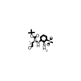 C[C@@H](C=O)N(Nc1cccc(S(C)(=O)=O)c1N)C(=O)OC(C)(C)C